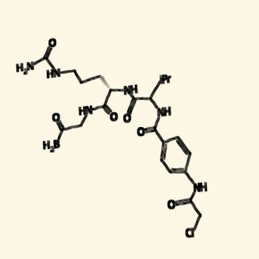 BC(=O)CNC(=O)[C@H](CCCNC(N)=O)NC(=O)C(NC(=O)c1ccc(NC(=O)CCl)cc1)C(C)C